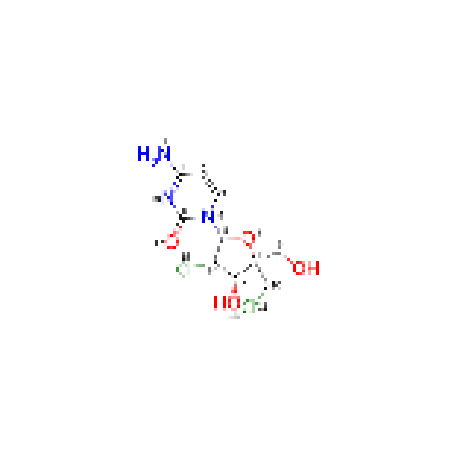 Nc1ccn([C@@H]2O[C@@](CO)(CCl)[C@@H](O)[C@@H]2Cl)c(=O)n1